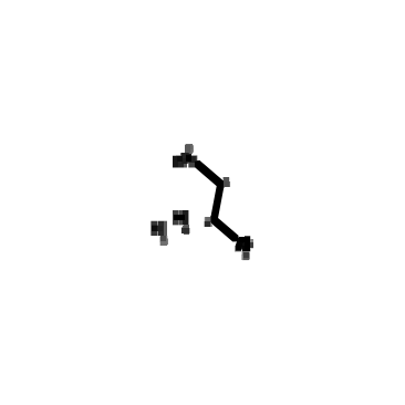 CCCC[CH2][Al].I.I